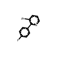 CC(C)c1cccnc1-c1ccc(F)cc1